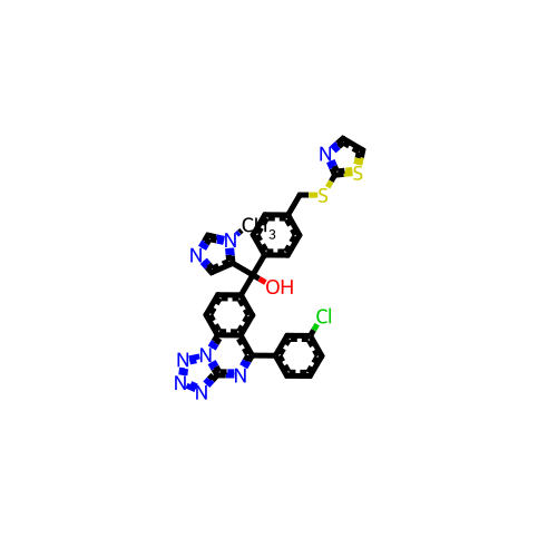 Cn1cncc1C(O)(c1ccc(CSc2nccs2)cc1)c1ccc2c(c1)c(-c1cccc(Cl)c1)nc1nnnn12